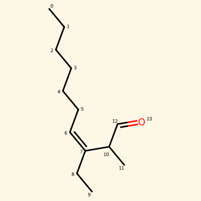 CCCCCCC=C(CC)C(C)C=O